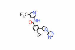 O=C(Nc1cncc(C(F)(F)F)c1)c1ccc(C2CC2)c(C2CCN(c3cncnc3)C2)c1